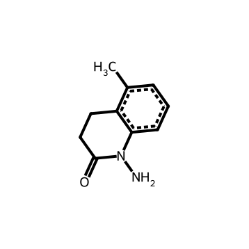 Cc1cccc2c1CCC(=O)N2N